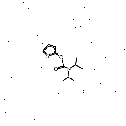 CC(C)N(C(=O)Oc1cccs1)C(C)C